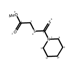 COC(=O)CSC(=S)N1CCCCC1